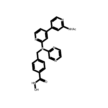 CC(=O)Nc1cc(-c2ccnc(N(Cc3ccc(C(=O)NO)cc3)c3cnccn3)c2)ccn1